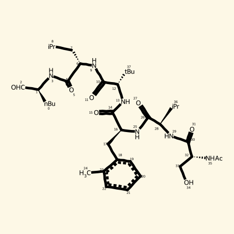 CCCC[C@@H](C=O)NC(=O)[C@H](CC(C)C)NC(=O)[C@@H](NC(=O)[C@H](Cc1ccccc1C)NC(=O)[C@H](NC(=O)[C@@H](CO)NC(C)=O)C(C)C)C(C)(C)C